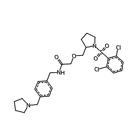 O=C(COCC1CCCN1S(=O)(=O)c1c(Cl)cccc1Cl)NCc1ccc(CN2CCCC2)cc1